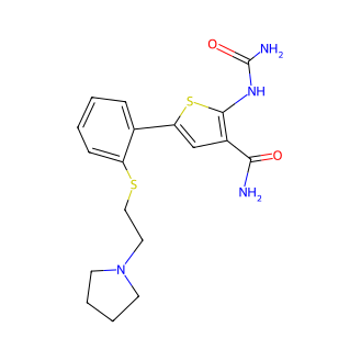 NC(=O)Nc1sc(-c2ccccc2SCCN2CCCC2)cc1C(N)=O